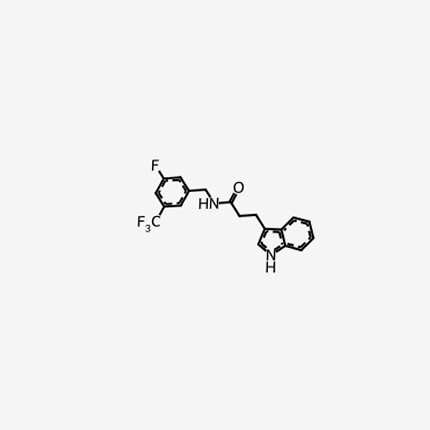 O=C(CCc1c[nH]c2ccccc12)NCc1cc(F)cc(C(F)(F)F)c1